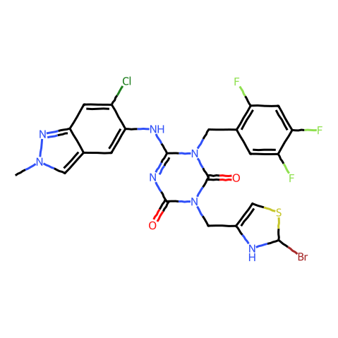 Cn1cc2cc(Nc3nc(=O)n(CC4=CSC(Br)N4)c(=O)n3Cc3cc(F)c(F)cc3F)c(Cl)cc2n1